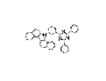 c1ccc(-c2nc(-c3ccccc3)nc(-c3cccc(-n4c5ccc6ccccc6c5c5ccc6ccccc6c54)c3)n2)cc1